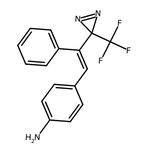 Nc1ccc(C=C(c2ccccc2)C2(C(F)(F)F)N=N2)cc1